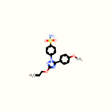 C=CCOc1nc(-c2ccc(OC)cc2)n(-c2ccc(S(N)(=O)=O)cc2)n1